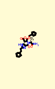 C[C@@H](C(N)=O)N(C(=O)c1c[nH]c(CCc2ccccc2)n1)C1CC(=O)OC1OCc1ccccc1